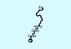 CC/C=C\C/C=C\C/C=C\C/C=C\C/C=C\CCCC(=O)NCCNC(=O)CCNC(=O)c1cccnc1